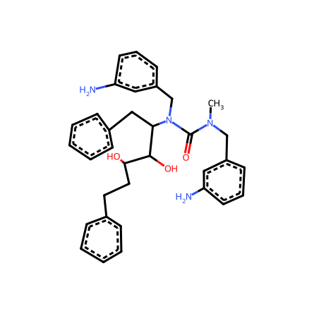 CN(Cc1cccc(N)c1)C(=O)N(Cc1cccc(N)c1)C(Cc1ccccc1)C(O)C(O)CCc1ccccc1